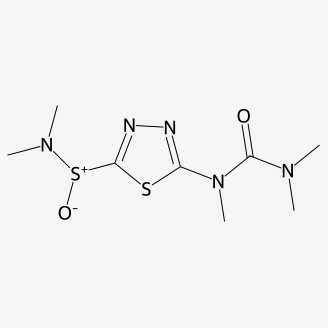 CN(C)C(=O)N(C)c1nnc([S+]([O-])N(C)C)s1